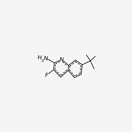 CC(C)(C)c1ccc2cc(F)c(N)nc2c1